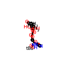 CC(C)(C)OC(=O)NC[C@@H](C(=O)Nc1ccc2cnccc2c1)c1ccc(COC(=O)CCC(=O)OCC(=O)[C@@]2(O)CC[C@H]3[C@@H]4CCC5=CC(=O)C=C[C@]5(C)[C@H]4[C@@H](O)C[C@@]32C)cc1